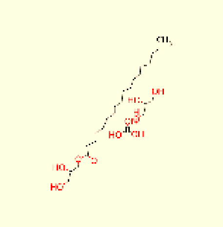 CCCCCCCCCCCCCCCCCC(=O)OCC(O)CO.OB(O)O.OCC(O)CO